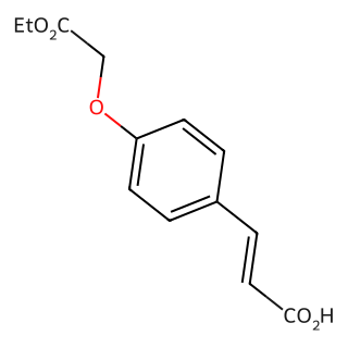 CCOC(=O)COc1ccc(C=CC(=O)O)cc1